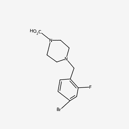 O=C(O)N1CCN(Cc2ccc(Br)cc2F)CC1